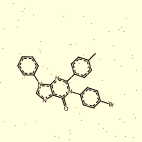 Cc1ccc(-c2nc3c(ncn3-c3ccccc3)c(=O)n2-c2ccc(Br)cc2)cc1